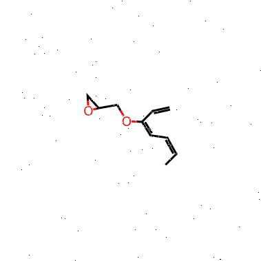 C=C/C(=C\C=C/C)OCC1CO1